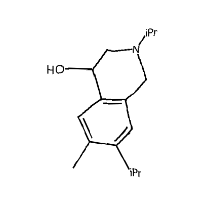 Cc1cc2c(cc1C(C)C)CN(C(C)C)CC2O